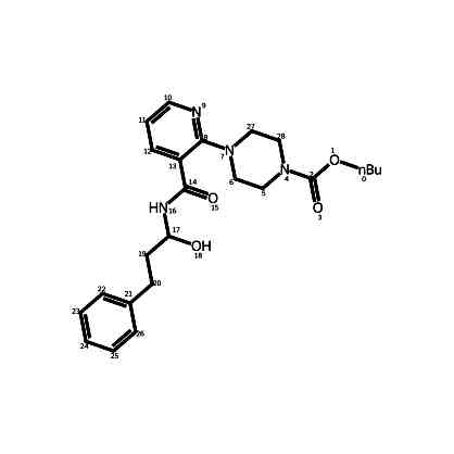 CCCCOC(=O)N1CCN(c2ncccc2C(=O)NC(O)CCc2ccccc2)CC1